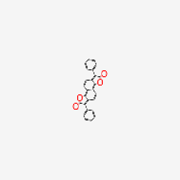 O=C1Oc2c(ccc3c4c(ccc23)=C(c2ccccc2)C(=O)O4)=C1c1ccccc1